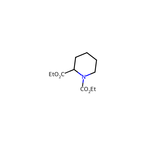 CCOC(=O)C1CCCCN1C(=O)OCC